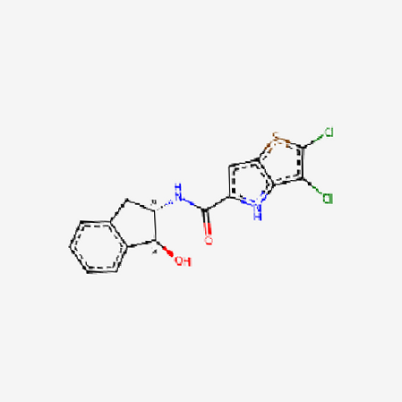 O=C(N[C@H]1Cc2ccccc2[C@@H]1O)c1cc2sc(Cl)c(Cl)c2[nH]1